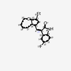 CCc1cc(/C=C2\C(=O)Nc3ccc(F)cc32)c2cccccc1-2